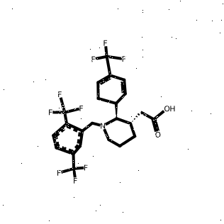 O=C(O)C[C@@H]1CCCN(Cc2cc(C(F)(F)F)ccc2C(F)(F)F)[C@H]1C1C=CC(C(F)(F)F)=CC1